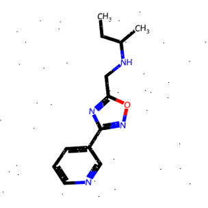 CCC(C)NCc1nc(-c2cccnc2)no1